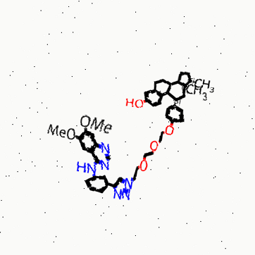 COc1cc2ncnc(Nc3cccc(-c4cn(CCOCCOCCOc5ccc([C@H]6C[C@@]7(C)C(CC[C@@H]7C)C7CCc8cc(O)ccc8C76)cc5)nn4)c3)c2cc1OC